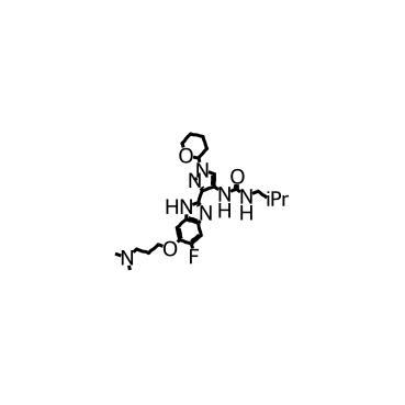 CC(C)CNC(=O)Nc1cn(C2CCCCO2)nc1-c1nc2cc(F)c(OCCCN(C)C)cc2[nH]1